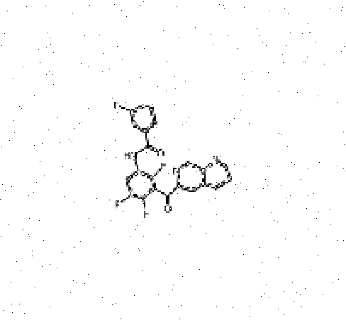 O=C(Nc1cc(F)c(F)c(C(=O)c2cc3cccnc3cn2)c1F)c1cccc(F)c1